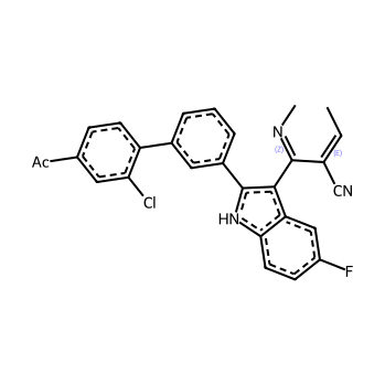 C/C=C(C#N)\C(=N/C)c1c(-c2cccc(-c3ccc(C(C)=O)cc3Cl)c2)[nH]c2ccc(F)cc12